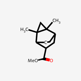 COC(=O)C1CC2CCC1C1(C)CC21C